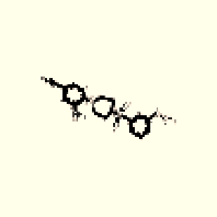 COc1cccc(S(=O)(=O)C2CCN(c3ccc(C#N)cc3N)CC2)c1